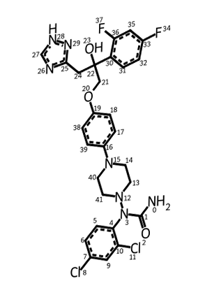 NC(=O)N(c1ccc(Cl)cc1Cl)N1CCN(c2ccc(OCC(O)(Cc3nc[nH]n3)c3ccc(F)cc3F)cc2)CC1